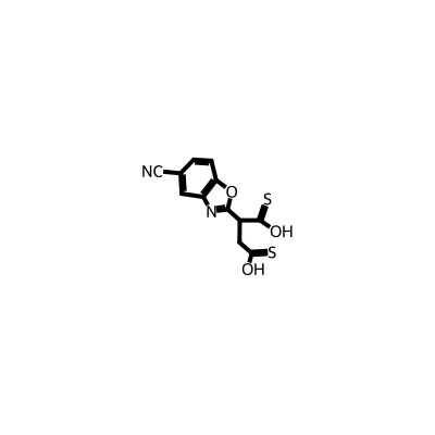 N#Cc1ccc2oc(C(CC(O)=S)C(O)=S)nc2c1